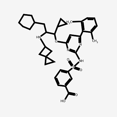 Cc1cccc(C)c1-c1cc(OC(C2CC2)C(CC2CCCCC2)NC2CC3(CC3)C2)nc(NS(=O)(=O)c2cccc(C(=O)O)c2)n1